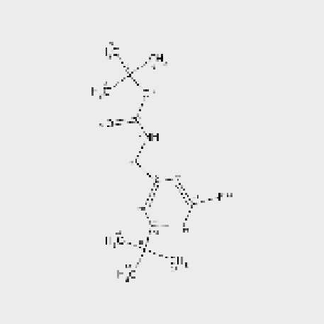 CC(C)(C)OC(=O)NCc1cc(F)cc(C(C)(C)C)c1